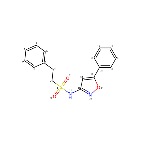 O=S(=O)(CCc1ccccc1)Nc1cc(-c2ccccc2)on1